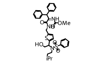 COC(=O)N[C@H](C(=O)NCc1ccc(C(CO)N(CCC(C)C)S(=O)(=O)c2ccccc2)s1)C(c1ccccc1)c1ccccc1